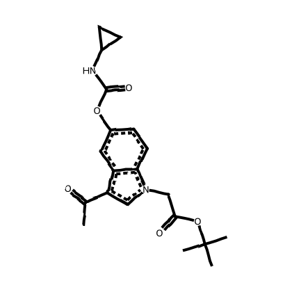 CC(=O)c1cn(CC(=O)OC(C)(C)C)c2ccc(OC(=O)NC3CC3)cc12